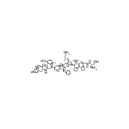 C[C@H](NC(=O)[C@@H](N)[C@@H](C)O)C(=O)N1CCC[C@H]1C(=O)N1CCC[C@H]1C(=O)N[C@@H](CO)C(=O)N[C@@H](CCCCN)C(=O)N[C@@H](Cc1ccccc1)C(=O)N[C@@H](Cc1ccc(O)cc1)C(=O)NCC(=O)N[C@@H](Cc1c[nH]cn1)C(=O)O